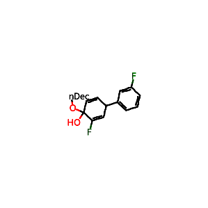 CCCCCCCCCCOC1(O)C=CC(c2cccc(F)c2)C=C1F